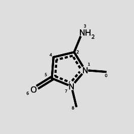 Cn1c(N)cc(=O)n1C